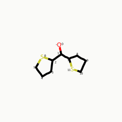 [O]C(C1CCCS1)C1CCCS1